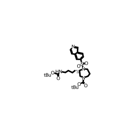 CC(C)(C)OC(=O)NCCCC[C@H]1CN(C(=O)OC(C)(C)C)CCCN1S(=O)(=O)c1ccc2cnccc2c1